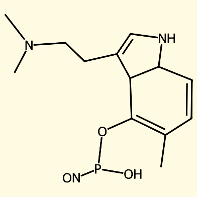 CC1=C(OP(O)N=O)C2C(CCN(C)C)=CNC2C=C1